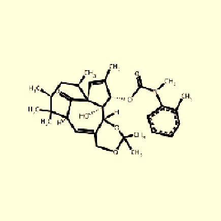 CC1=C[C@]23C(=O)[C@@H](C=C4COC(C)(C)O[C@H]4[C@]2(O)[C@H]1OC(=O)N(C)c1ccccc1C)C(C)(C)[C@@H](C)C[C@H]3C